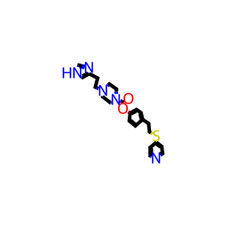 O=C(Oc1ccc(CCSc2ccncc2)cc1)N1CCN(CCc2c[nH]cn2)CC1